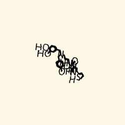 O=C(NCCCN(Cc1ccc(O)c(O)c1)Cc1ccc(O)c(O)c1)c1cc(-c2cccs2)[nH]n1